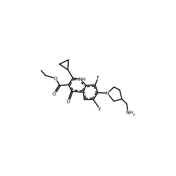 CCOC(=O)c1c(C2CC2)[nH]c2c(F)c(N3CCC(CN)C3)c(F)cc2c1=O